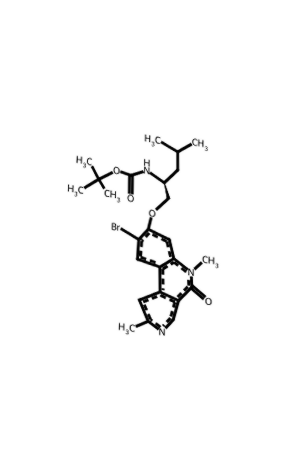 Cc1cc2c(cn1)c(=O)n(C)c1cc(OC[C@H](CC(C)C)NC(=O)OC(C)(C)C)c(Br)cc21